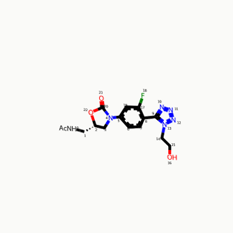 CC(=O)NC[C@H]1CN(c2ccc(-c3nnnn3CCO)c(F)c2)C(=O)O1